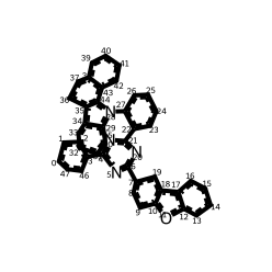 c1ccc(-c2nc(-c3ccc4oc5ccccc5c4c3)nc(-c3ccccc3-n3c4ccccc4c4ccc5ccccc5c43)n2)cc1